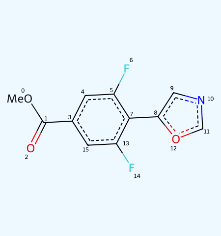 COC(=O)c1cc(F)c(-c2cnco2)c(F)c1